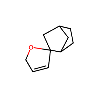 C1=CC2(CC3CCC2C3)OC1